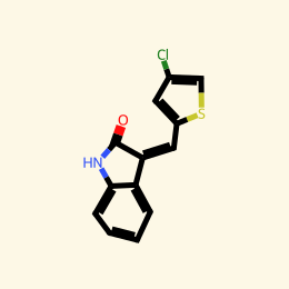 O=C1Nc2ccccc2C1=Cc1cc(Cl)cs1